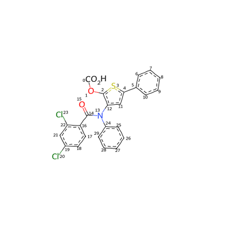 O=C(O)Oc1sc(-c2ccccc2)cc1N(C(=O)c1ccc(Cl)cc1Cl)c1ccccc1